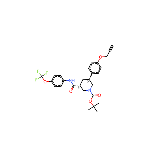 C#CCOc1ccc([C@@H]2C[C@@H](C(=O)Nc3ccc(OC(F)(F)F)cc3)CN(C(=O)OC(C)(C)C)C2)cc1